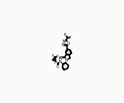 O=C(N[C@@H]1CCCC[C@H]1N1Cc2ccc(-c3nnc(C(F)F)o3)cc2C1=O)[C@@H]1CC1(F)F